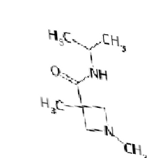 CC(C)NC(=O)C1(C)CN(C)C1